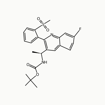 C[C@H](NC(=O)OC(C)(C)C)c1cc2ccc(F)cc2nc1-c1ccccc1S(C)(=O)=O